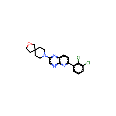 Clc1cccc(-c2ccc3nc(N4CCC5(CCOC5)CC4)cnc3n2)c1Cl